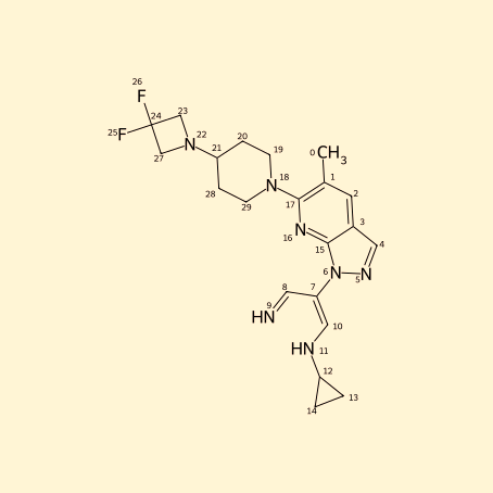 Cc1cc2cnn(/C(C=N)=C/NC3CC3)c2nc1N1CCC(N2CC(F)(F)C2)CC1